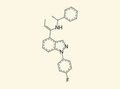 C/C=C(\NC(C)c1ccccc1)c1cccc2c1cnn2-c1ccc(F)cc1